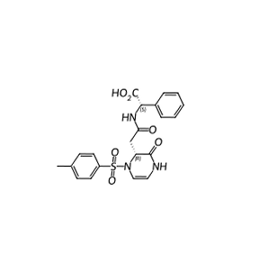 Cc1ccc(S(=O)(=O)N2C=CNC(=O)[C@H]2CC(=O)N[C@H](C(=O)O)c2ccccc2)cc1